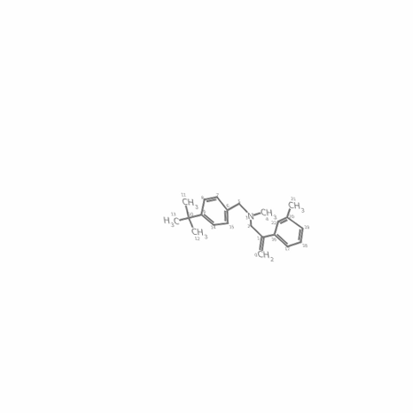 C=C(CN(C)Cc1ccc(C(C)(C)C)cc1)c1cccc(C)c1